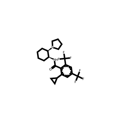 O=C(N[C@H]1CCCC[C@H]1N1CCCC1)c1c(C2CC2)cc(C(F)(F)F)cc1C(F)(F)F